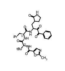 Cc1ncc(C(=O)N[C@H](C(=O)N[C@@H](CC(C)C)C(=O)NC(CC2CCNC2=O)C(=O)C(=O)c2ccccc2)C(C)(C)C)o1